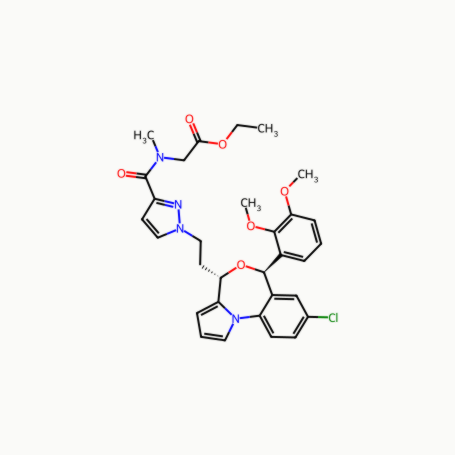 CCOC(=O)CN(C)C(=O)c1ccn(CC[C@@H]2O[C@@H](c3cccc(OC)c3OC)c3cc(Cl)ccc3-n3cccc32)n1